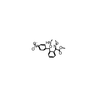 CNOC(c1ccc([N+](=O)[O-])cc1)c1ccccc1C(=NOC)C(=O)OC